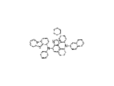 c1ccc(-c2nc3c(N(c4ccccc4)c4cccc5c4sc4ccccc45)cc4cccc(N(c5ccccc5)c5ccc6ccccc6c5)c4c3o2)cc1